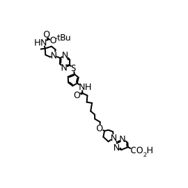 CC1(NC(=O)OC(C)(C)C)CCN(c2cnc(Sc3cccc(NC(=O)CCCCCCCOC4CCN(c5ncc(C(=O)O)cn5)CC4)c3)cn2)CC1